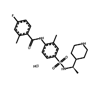 Cc1cc(S(=O)(=O)N[C@H](C)C2CCNCC2)ccc1NC(=O)c1ccc(F)cc1C.Cl